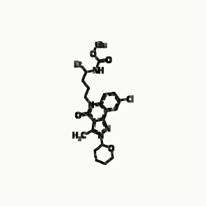 CCC(CCCn1c(=O)c2c(C)n(C3CCCCO3)nc2c2cc(Cl)ccc21)NC(=O)OC(C)(C)C